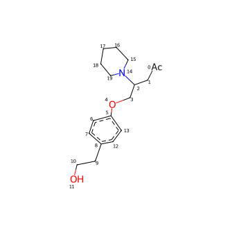 CC(=O)CC(COc1ccc(CCO)cc1)N1CCCCC1